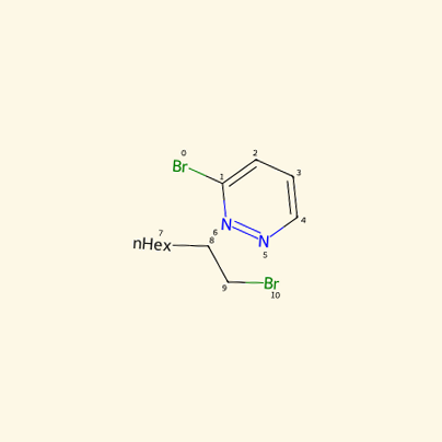 Brc1cccnn1.CCCCCCCCBr